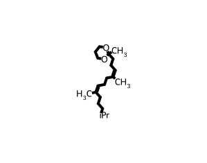 CC(=CCCC1(C)OCCCO1)CCC=C(C)CCCC(C)C